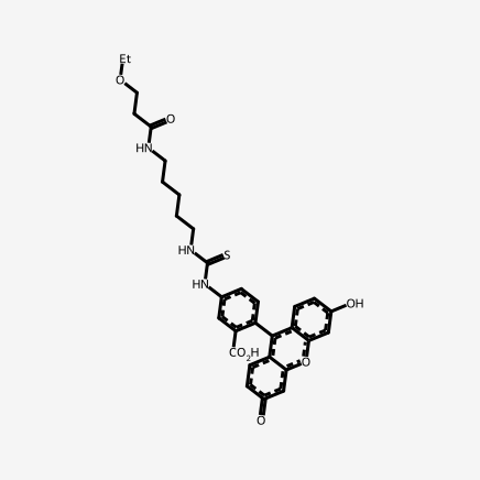 CCOCCC(=O)NCCCCCNC(=S)Nc1ccc(-c2c3ccc(=O)cc-3oc3cc(O)ccc23)c(C(=O)O)c1